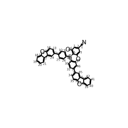 N#Cc1cc2c3c(c1)Oc1cc(-c4ccc5oc6ccccc6c5c4)ccc1B3c1ccc(-c3ccc4oc5ccccc5c4c3)cc1O2